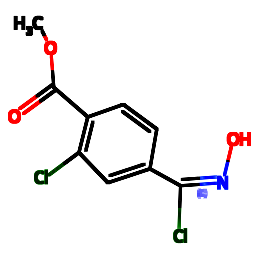 COC(=O)c1ccc(/C(Cl)=N\O)cc1Cl